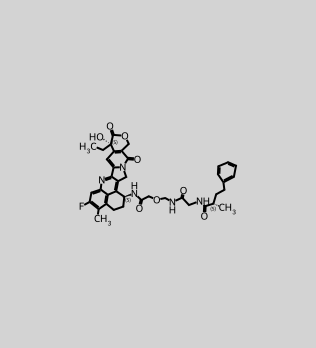 CC[C@@]1(O)C(=O)OCc2c1cc1n(c2=O)Cc2c-1nc1cc(F)c(C)c3c1c2[C@@H](NC(=O)COCNC(=O)CNC(=O)[C@@H](C)CCc1ccccc1)CC3